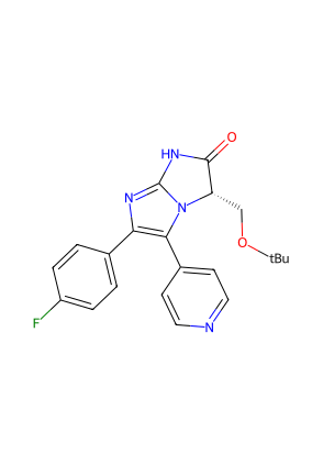 CC(C)(C)OC[C@H]1C(=O)Nc2nc(-c3ccc(F)cc3)c(-c3ccncc3)n21